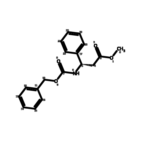 COC(=O)C[C@H](NC(=O)OCc1ccccc1)c1ccccc1